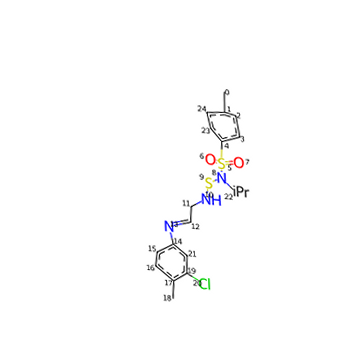 Cc1ccc(S(=O)(=O)N(SNCC=Nc2ccc(C)c(Cl)c2)C(C)C)cc1